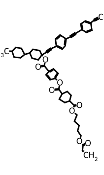 C#Cc1ccc(C#Cc2ccc(C#CC3(OC(=O)c4ccc(OC(=O)C5CCC(C(=O)OCCCCCOC(=O)C=C)CC5)cc4)CCC(C4CCC(C)CC4)CC3)cc2)cc1